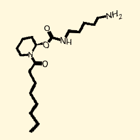 CCCCCCCC(=O)N1CCCC[C@H]1OC(=O)NCCCCCN